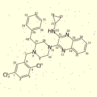 Clc1ccc(Cl)c(CN2CCN(c3nc4ccccc4nc3NC3CC3)CC2Cc2ccccc2)c1